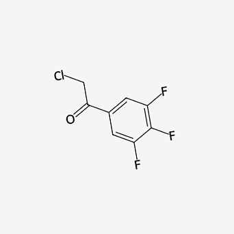 O=C(CCl)c1cc(F)c(F)c(F)c1